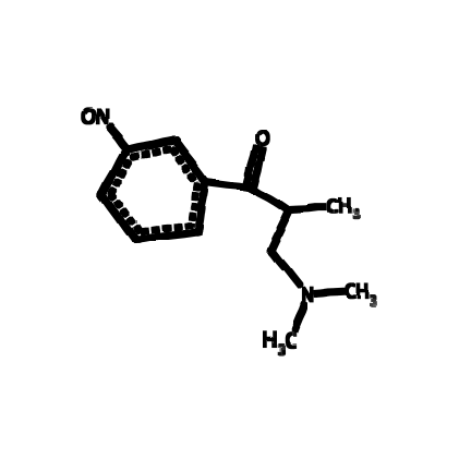 CC(CN(C)C)C(=O)c1cccc(N=O)c1